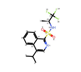 CC(C)c1cnc(S(=O)(=O)N[C@@H](C)C(F)(F)F)c2ccccc12